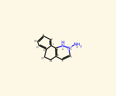 N[N+]1C=CC2=C(N1)c1ccccc1CC2